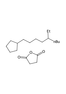 CCCCC(CC)CCCCC1CCCC1.O=C1CCC(=O)O1